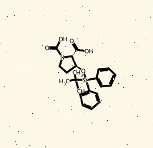 CC(C)(C)[Si](O[C@H]1CCN(C(=O)O)[C@@H]1C(=O)O)(c1ccccc1)c1ccccc1